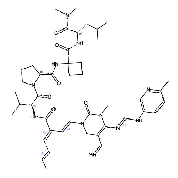 C/C=C/C=C(\C=C\N1CC(C=N)=C(/N=C/Nc2ccc(C)nc2)N(C)C1=O)C(=O)N[C@H](C(=O)N1CCC[C@H]1C(=O)NC1(C(=O)N[C@@H](CC(C)C)C(=O)N(C)C)CCC1)C(C)C